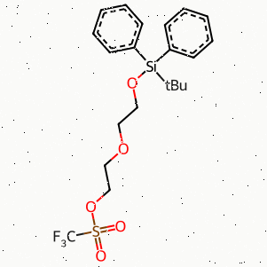 CC(C)(C)[Si](OCCOCCOS(=O)(=O)C(F)(F)F)(c1ccccc1)c1ccccc1